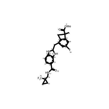 COC(=O)C1(C)Cc2c(CC3Nc4ccc(C(=O)NCC5(C(F)(F)F)CC5)cc4N3)cc(F)cc21